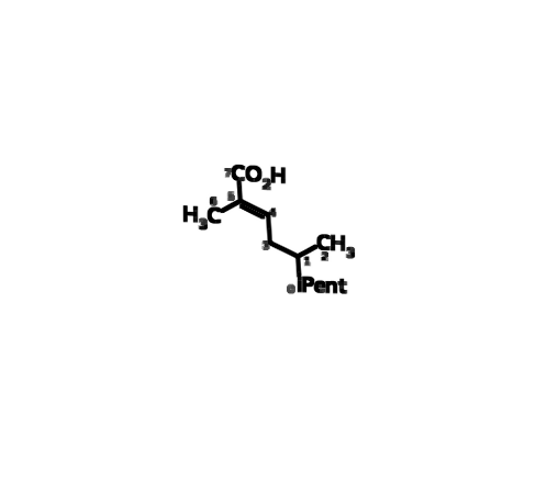 CCCC(C)C(C)CC=C(C)C(=O)O